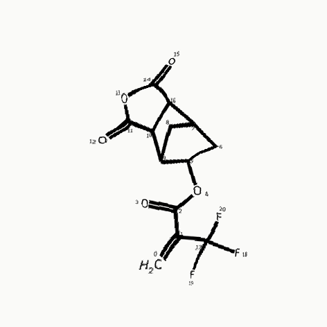 C=C(C(=O)OC1CC2CC1C1C(=O)OC(=O)C21)C(F)(F)F